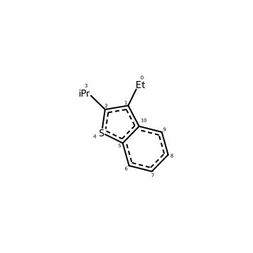 CCc1c(C(C)C)sc2ccccc12